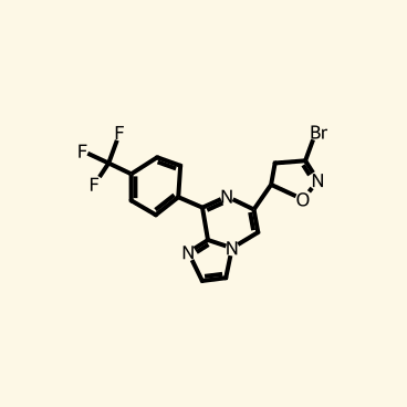 FC(F)(F)c1ccc(-c2nc(C3CC(Br)=NO3)cn3ccnc23)cc1